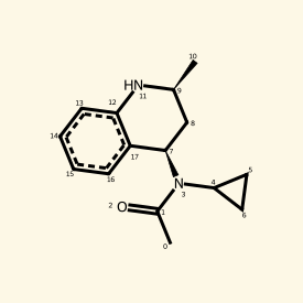 CC(=O)N(C1CC1)[C@@H]1C[C@H](C)Nc2ccccc21